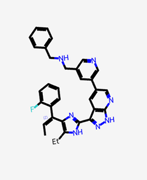 C/C=C(/c1ccccc1F)c1nc(-c2n[nH]c3ncc(-c4cncc(CNCc5ccccc5)c4)cc23)[nH]c1CC